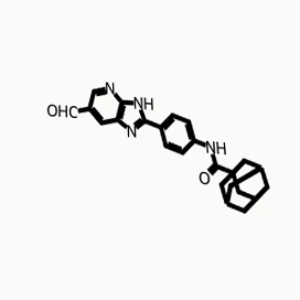 O=Cc1cnc2[nH]c(-c3ccc(NC(=O)C45CC6CC(CC(C6)C4)C5)cc3)nc2c1